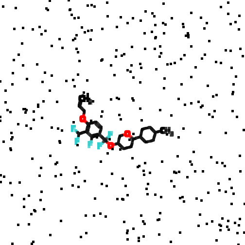 C=CCOc1ccc(C(F)(F)OC2CCC(C3CCC(C)CC3)OC2)c(F)c1C(F)F